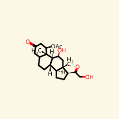 CC(=O)OC1CC(=O)CC2CC[C@@H]3[C@H]([C@@H](O)C[C@]4(C)[C@@H](C(=O)CO)CC[C@@H]34)[C@]21C